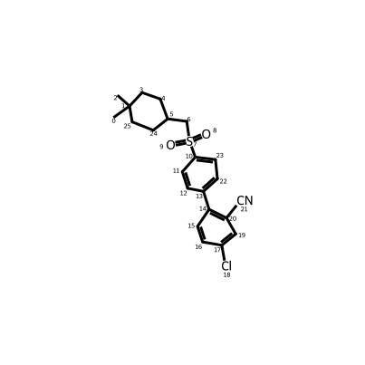 CC1(C)CCC(CS(=O)(=O)c2ccc(-c3ccc(Cl)cc3C#N)cc2)CC1